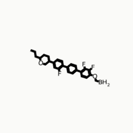 BCOc1ccc(-c2ccc(-c3ccc(C4CCC(CCC)OC4)cc3F)cc2)c(F)c1F